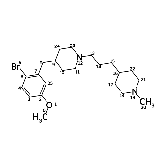 COc1ccc(Br)c(CC2CCN(CCCC3CCN(C)CC3)CC2)c1